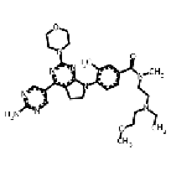 CCN(CCOC)CCN(C)C(=O)c1ccc(N2CCc3c(-c4cnc(N)nc4)nc(N4CCOCC4)nc32)c(C)c1